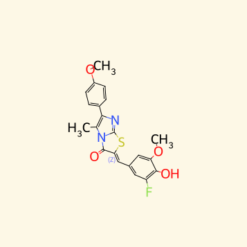 COc1ccc(-c2nc3s/c(=C\c4cc(F)c(O)c(OC)c4)c(=O)n3c2C)cc1